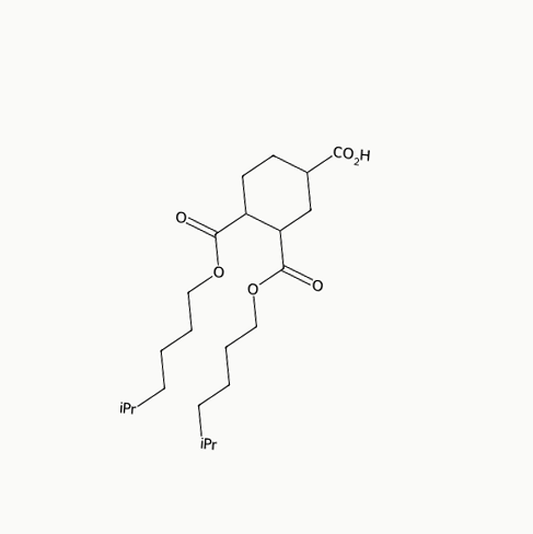 CC(C)CCCCOC(=O)C1CCC(C(=O)O)CC1C(=O)OCCCCC(C)C